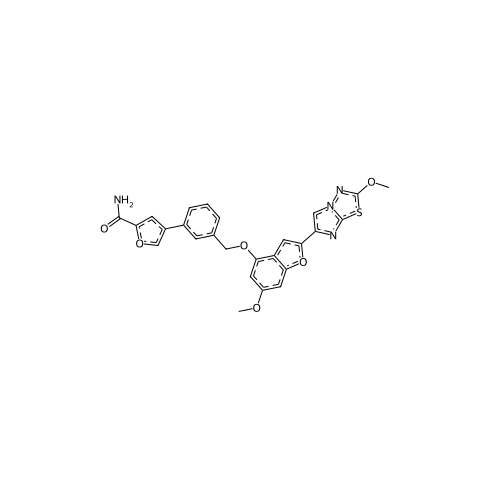 COc1cc(OCc2cccc(-c3coc(C(N)=O)c3)c2)c2cc(-c3cn4nc(OC)sc4n3)oc2c1